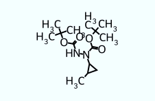 CC1CC1N(NC(=O)OC(C)(C)C)C(=O)OC(C)(C)C